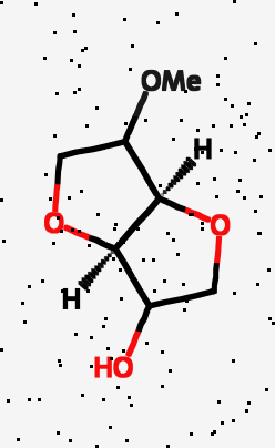 COC1CO[C@@H]2C(O)CO[C@H]12